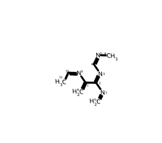 C=N/C(=N/C=N\C)C(=C)/N=C\C